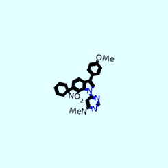 CNc1cc(-n2cc(-c3ccc(OC)cc3)c3ccc(C4([N+](=O)[O-])C=CC=CC4)cc32)ncn1